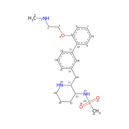 CNCCOc1ccccc1-c1cccc(CC2NCCCC2NS(C)(=O)=O)c1